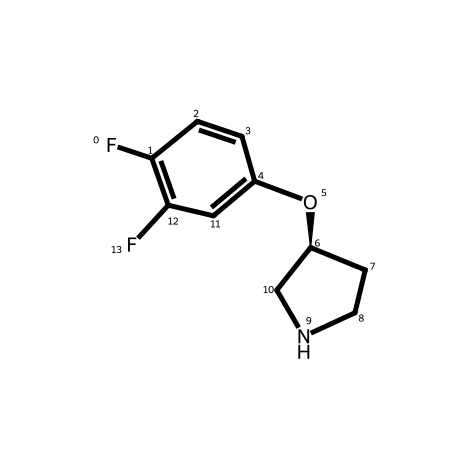 Fc1ccc(O[C@H]2CCNC2)cc1F